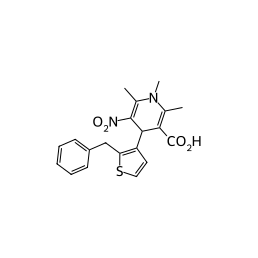 CC1=C(C(=O)O)C(c2ccsc2Cc2ccccc2)C([N+](=O)[O-])=C(C)N1C